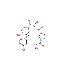 CC(C)NC(=O)N1CC[C@@H](C(=O)N[C@@H](C(=O)N2CC[C@](O)(c3ccc(Cl)cc3)C(C)(C)C2)C(C)C)C1